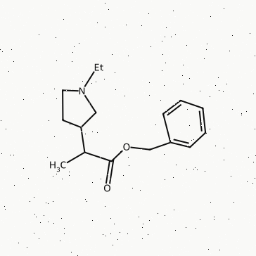 CCN1CCC(C(C)C(=O)OCc2ccccc2)C1